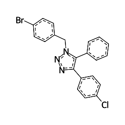 Clc1ccc(-c2nnn(Cc3ccc(Br)cc3)c2-c2ccccc2)cc1